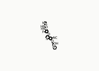 [C-]#[N+]c1cc2c(Oc3ccc(NC(=O)Nc4nccs4)c(F)c3)ccnc2cc1OC[C@H](O)CN1CCCCC1